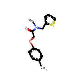 CCC(C)N(Cc1cccs1)C(=O)COc1ccc(C)cc1